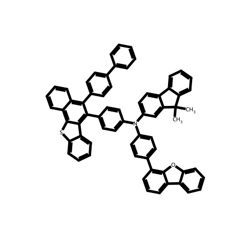 CC1(C)c2ccccc2-c2ccc(N(c3ccc(-c4cccc5c4oc4ccccc45)cc3)c3ccc(-c4c(-c5ccc(-c6ccccc6)cc5)c5ccccc5c5sc6ccccc6c45)cc3)cc21